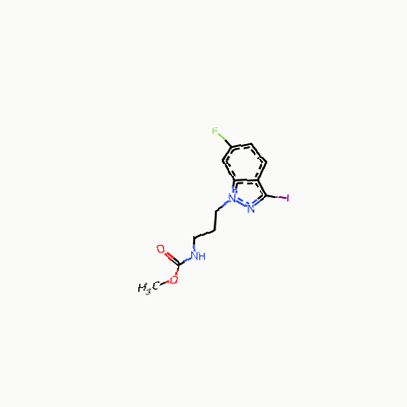 COC(=O)NCCCn1nc(I)c2ccc(F)cc21